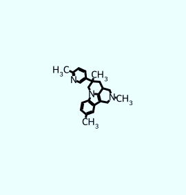 Cc1ccc2c(c1)c1c3n2CC(C)(c2ccc(C)nc2)CC3CN(C)C1